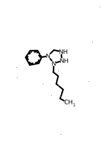 CCCCCCN1NNCN1c1ccccc1